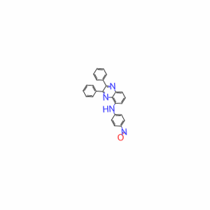 O=Nc1ccc(Nc2cccc3nc(-c4ccccc4)c(-c4ccccc4)nc23)cc1